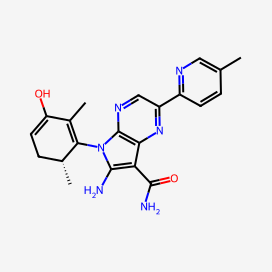 CC1=C(n2c(N)c(C(N)=O)c3nc(-c4ccc(C)cn4)cnc32)[C@H](C)CC=C1O